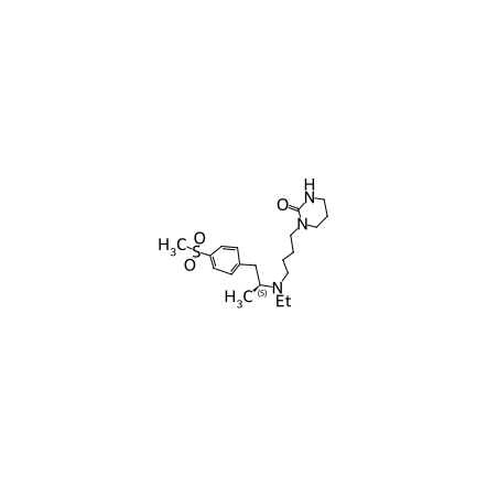 CCN(CCCCN1CCCNC1=O)[C@@H](C)Cc1ccc(S(C)(=O)=O)cc1